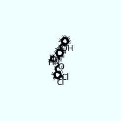 O=C(Cc1ccc(Cl)c(Cl)c1)NCC1(N2CCC2)CCC(O)(Cc2ccccc2)CC1